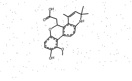 COc1c(O)ccc2c1-c1ccc3c(c1C(CC(=O)O)O2)C(C)=CC(C)(C)N3